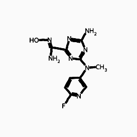 CN(c1ccc(F)nc1)c1nc(N)nc(/C(N)=N/O)n1